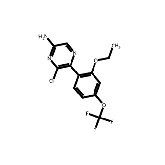 CCOc1cc(OC(F)(F)F)ccc1-c1ncc(N)nc1Cl